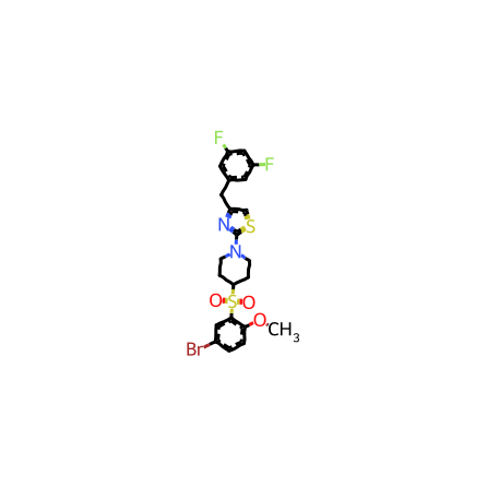 COc1ccc(Br)cc1S(=O)(=O)C1CCN(c2nc(Cc3cc(F)cc(F)c3)cs2)CC1